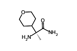 C[C@@](N)(C(N)=O)C1CCOCC1